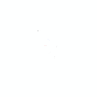 CC(C)CCNC(=O)C(c1ccc(Cl)c(Cl)c1)C(C)C